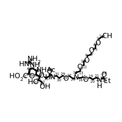 C#CCOCCOCCOCCOCCN(CCOCCCNC(=O)CC)CCOCCCNC(=O)CO[C@@H]([C@@H]1OC(C(=O)O)=C[C@H](NC(=N)N)[C@H]1NC(C)=O)[C@H](O)CO